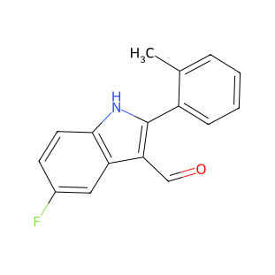 Cc1ccccc1-c1[nH]c2ccc(F)cc2c1C=O